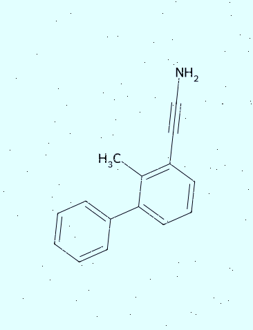 Cc1c(C#CN)cccc1-c1ccccc1